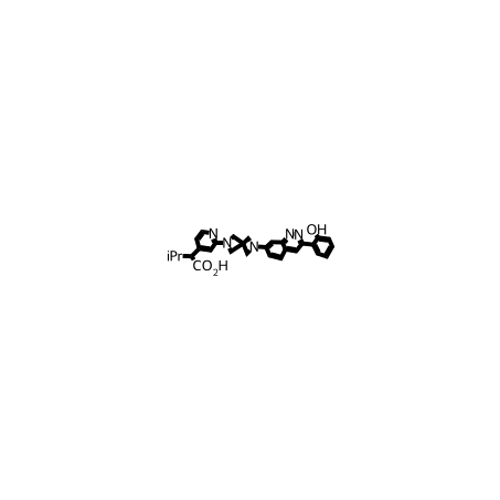 CC(C)C(C(=O)O)c1ccnc(N2CC3(CN(c4ccc5cc(-c6ccccc6O)nnc5c4)C3)C2)c1